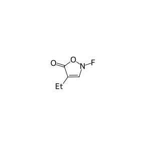 CCc1cn(F)oc1=O